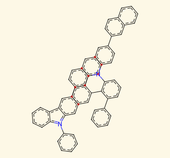 c1ccc(-c2ccccc2-c2c(-c3ccccc3)cccc2N(c2ccc(-c3ccc4ccccc4c3)cc2)c2cccc(-c3ccc4c(c3)c3ccccc3n4-c3ccccc3)c2)cc1